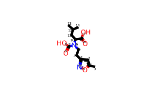 Cc1cc(CCN(C(=O)O)C(CC(C)C)C(=O)O)no1